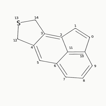 C1=Cc2c3c(cc4cccc1c24)CSC3